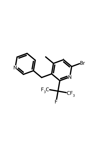 Cc1[c]c(Br)nc(C(F)(C(F)(F)F)C(F)(F)F)c1Cc1cccnc1